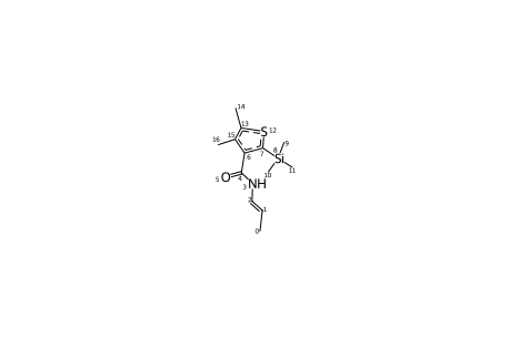 CC=CNC(=O)c1c([Si](C)(C)C)sc(C)c1C